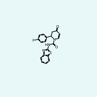 O=C1C=CN(C(=O)Nc2nc3ccccc3s2)C(c2ccc(F)cc2)C1